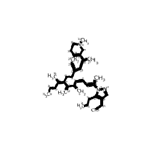 C=C(/C=C\C=C(/C)n1ncc(CCl)c1CCC)C(=C)/C(CCC(=C/C)/C=C(/C)C1=CCCN(C)C1)=C(/C)CCC